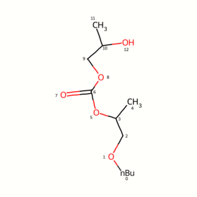 CCCCOCC(C)OC(=O)OCC(C)O